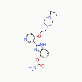 CN1CCN(CCOc2ccncc2-c2nc3c(OC(N)=O)cccc3[nH]2)CC1